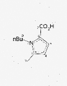 CCCCn1c(C)ccc1C(=O)O